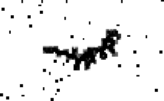 Cn1cc(NC(=O)c2cc([N+](=O)[O-])cn2C)cc1C(=O)NCCCCC#N